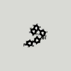 Fc1ccc(-c2ccc(Nc3cccc(-c4cccc5ccccc45)c3)cc2)cc1